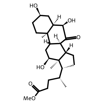 COC(=O)CC[C@@H](C)[C@H]1CC[C@H]2[C@@H]3C(=O)[C@H](O)[C@@H]4C[C@H](O)CC[C@]4(C)[C@H]3C[C@H](O)[C@]12C